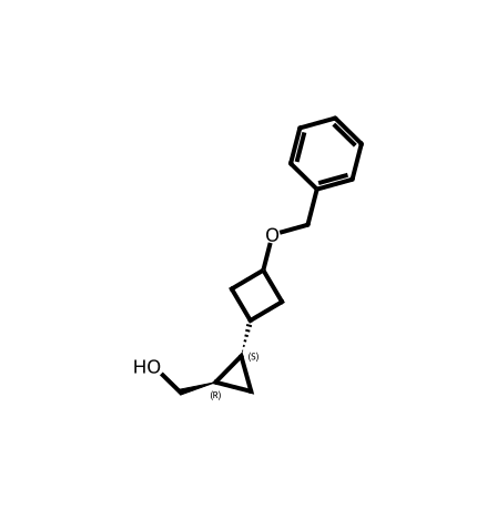 OC[C@@H]1C[C@H]1C1CC(OCc2ccccc2)C1